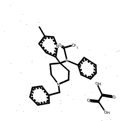 Cc1ccc(C2(N(C(=O)C(F)(F)F)c3ccccc3)CCN(Cc3ccccc3)CC2)nc1.O=C(O)C(=O)O